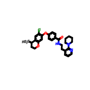 O=C(NCCc1cccnc1N1CCCCC1)c1ccc(Oc2cc3c(cc2Cl)C(C(=O)O)CCO3)cc1